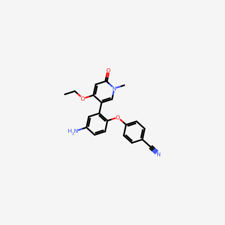 CCOc1cc(=O)n(C)cc1-c1cc(N)ccc1Oc1ccc(C#N)cc1